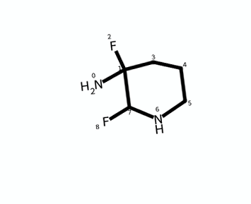 NC1(F)CCCNC1F